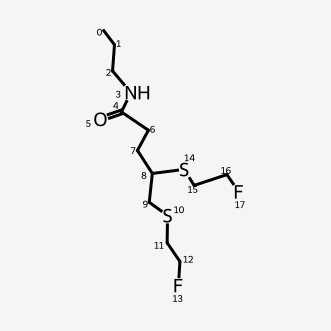 CCCNC(=O)CCC(CSCCF)SCCF